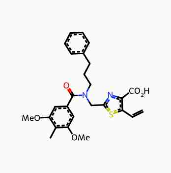 C=Cc1sc(CN(CCCc2ccccc2)C(=O)c2cc(OC)c(C)c(OC)c2)nc1C(=O)O